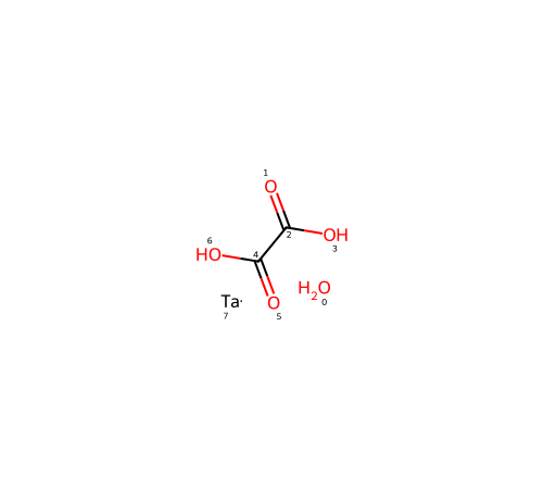 O.O=C(O)C(=O)O.[Ta]